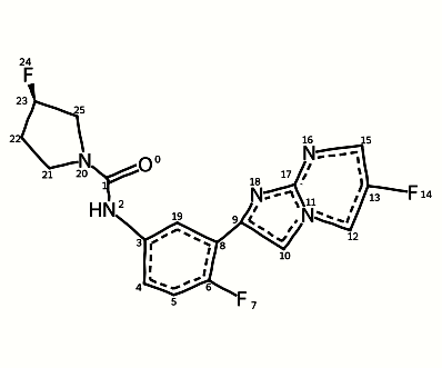 O=C(Nc1ccc(F)c(-c2cn3cc(F)cnc3n2)c1)N1CC[C@@H](F)C1